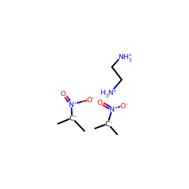 C[C-](C)[N+](=O)[O-].C[C-](C)[N+](=O)[O-].[NH3+]CC[NH3+]